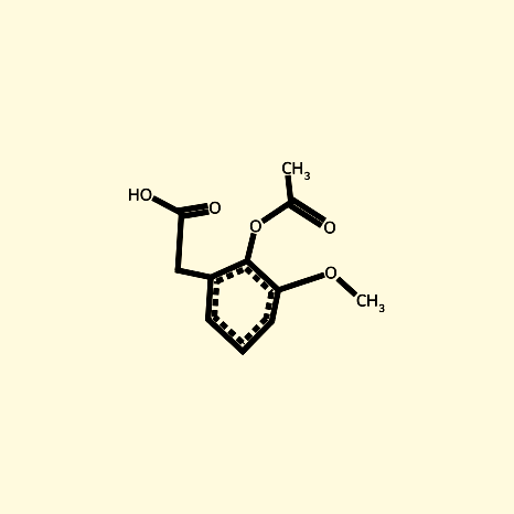 COc1cccc(CC(=O)O)c1OC(C)=O